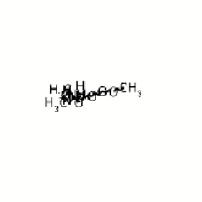 CCCOCCOCCOCCNC(=O)C(CNC)NC(C)=O